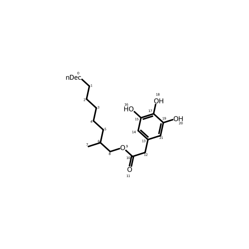 CCCCCCCCCCCCCCCC(C)COC(=O)Cc1cc(O)c(O)c(O)c1